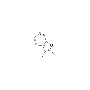 Cc1oc2cnccc2c1C